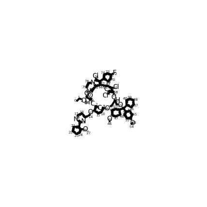 CCOC(=O)[C@H]1Cc2cc(ccc2OCc2ccnc(-c3ccccc3OC)n2)OC[C@@H](COC(c2ccccc2)(c2ccc(OC)cc2)c2ccc(OC)cc2)Oc2c(Cl)cc(cc2Cl)-c2c(-c3ccc(F)cc3)c(Cl)n3ccnc(c23)O1